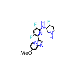 COc1ccn2c(-c3nc(N[C@@H]4CNCC[C@H]4F)c(F)cc3F)cnc2c1